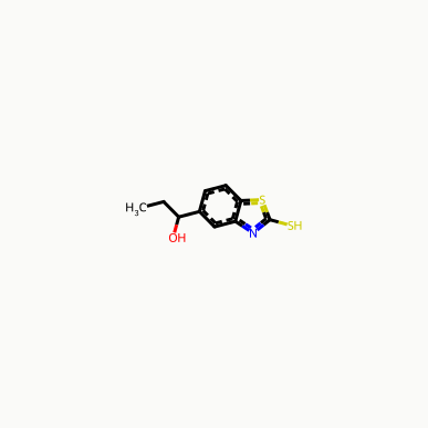 CCC(O)c1ccc2sc(S)nc2c1